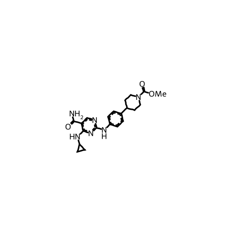 COC(=O)N1CCC(c2ccc(Nc3ncc(C(N)=O)c(NC4CC4)n3)cc2)CC1